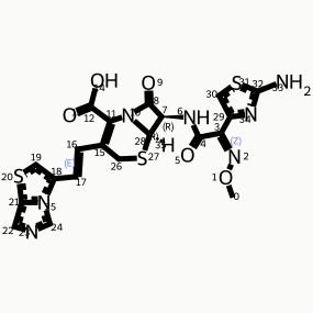 CO/N=C(\C(=O)N[C@@H]1C(=O)N2C(C(=O)O)=C(/C=C/c3csc4cncn34)CS[C@H]12)c1csc(N)n1